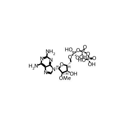 CO[C@@H]1[C@H](O)[C@@H](COP(=O)(O)OP(=O)(O)OP(=O)(O)O)O[C@H]1n1cnc2c(N)nc(N)nc21